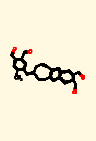 Cc1cc(C=O)c(C=O)cc1/C=C1/C=C\c2cc3cc(C=O)c(C=O)cc3cc2/C=C\C1